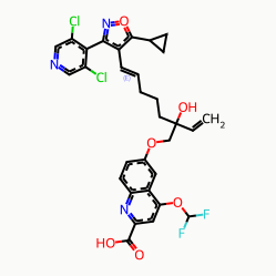 C=CC(O)(CCC/C=C/c1c(-c2c(Cl)cncc2Cl)noc1C1CC1)COc1ccc2nc(C(=O)O)cc(OC(F)F)c2c1